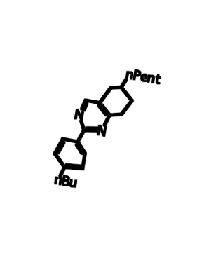 CCCCCC1CCc2nc(-c3ccc(CCCC)cc3)ncc2C1